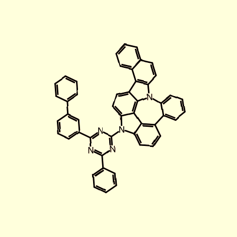 c1ccc(-c2cccc(-c3nc(-c4ccccc4)nc(-n4c5cccc6c7ccccc7n7c8ccc9ccccc9c8c8ccc4c(c65)c87)n3)c2)cc1